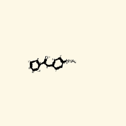 CC(=O)Nc1ccc(CC(=O)c2ccccc2)cc1